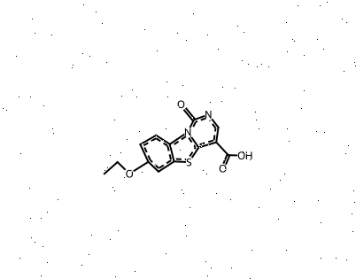 CCOc1ccc2c(c1)sc1c(C(=O)O)cnc(=O)n12